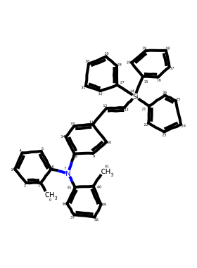 Cc1ccccc1N(c1ccc(/C=C/[Si](c2ccccc2)(c2ccccc2)c2ccccc2)cc1)c1ccccc1C